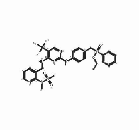 CCOP(=O)(Cc1ccc(Nc2ncc(C(F)(F)F)c(NCc3cccnc3N(C)S(C)(=O)=O)n2)cc1)c1ccccc1